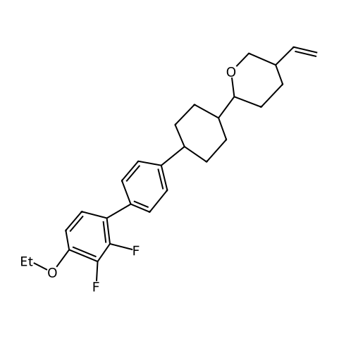 C=CC1CCC(C2CCC(c3ccc(-c4ccc(OCC)c(F)c4F)cc3)CC2)OC1